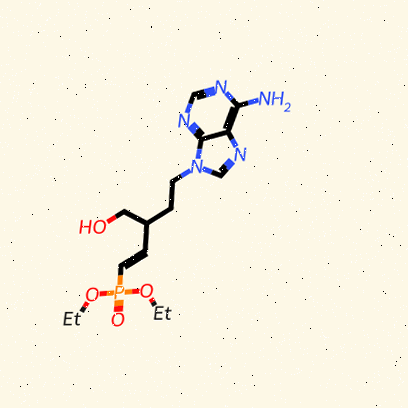 CCOP(=O)(C=CC(CO)CCn1cnc2c(N)ncnc21)OCC